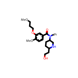 COCCCOc1cc(C(=O)N(C(C)C)C2CCC(CCO)NC2)ccc1OC